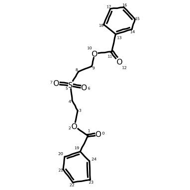 O=C(OCCS(=O)(=O)CCOC(=O)c1ccccc1)c1ccccc1